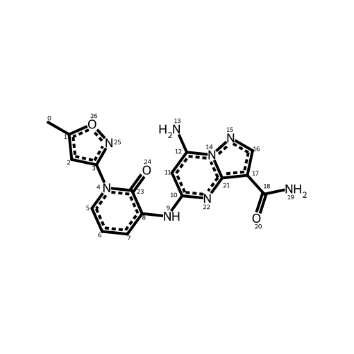 Cc1cc(-n2cccc(Nc3cc(N)n4ncc(C(N)=O)c4n3)c2=O)no1